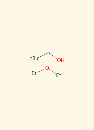 CCCCCO.CCOCC